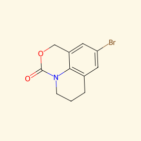 O=C1OCc2cc(Br)cc3c2N1CCC3